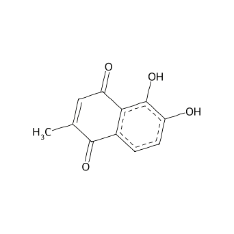 CC1=CC(=O)c2c(ccc(O)c2O)C1=O